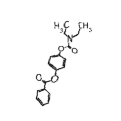 CCN(CC)C(=O)Oc1ccc(OC(=O)c2ccccc2)cc1